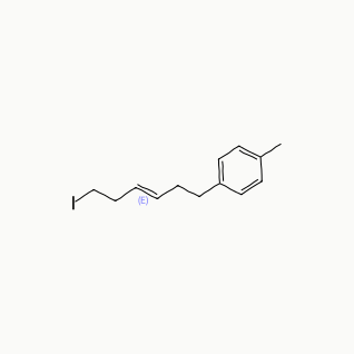 Cc1ccc(CC/C=C/CCI)cc1